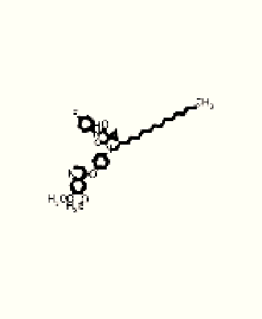 CCCCCCCCCCCCCCCCN(C(=O)C1(C(=O)Nc2ccc(F)cc2)CC1)c1ccc(Oc2ccnc3cc(OC)c(OC)cc23)cc1